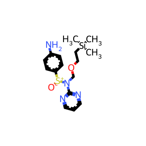 C[Si](C)(C)CCOCN(c1ncccn1)[S+]([O-])c1ccc(N)cc1